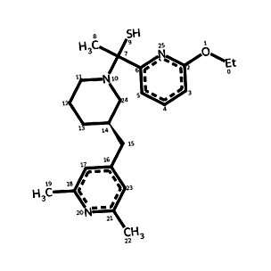 CCOc1cccc(C(C)(S)N2CCC[C@H](Cc3cc(C)nc(C)c3)C2)n1